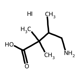 CC(CN)C(C)(C)C(=O)O.I